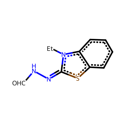 CCn1c(=NNC=O)sc2ccccc21